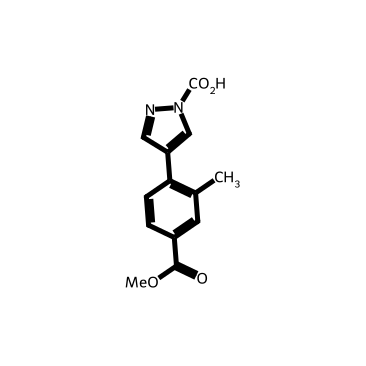 COC(=O)c1ccc(-c2cnn(C(=O)O)c2)c(C)c1